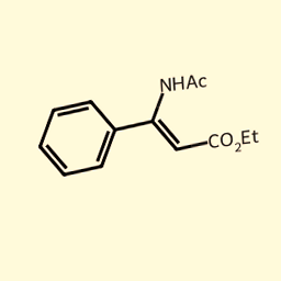 CCOC(=O)/C=C(\NC(C)=O)c1ccccc1